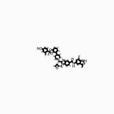 Cc1n[nH]c2c(F)cc(NC(=O)c3ccc4c(c3)nc(CN3CC=C(c5cccc6c5O[C@](C)(c5ccc(C#N)cc5F)O6)CC3)n4C[C@@H]3CCO3)cc12